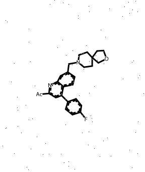 CC(=O)c1cc(-c2ccc(F)cc2)c2ccc(CN3CCC4(CCOC4)CC3)cc2n1